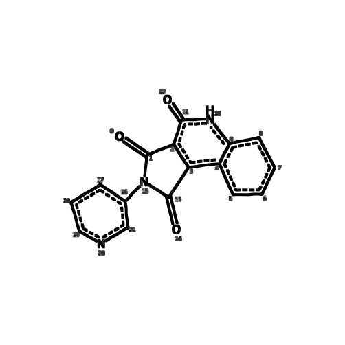 O=C1c2c(c3ccccc3[nH]c2=O)C(=O)N1c1cccnc1